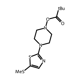 CSc1cnc(N2CCN(OC(=O)C(C)(C)C)CC2)s1